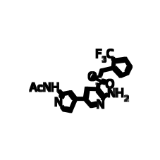 CC(=O)Nc1cc(-c2cnc(N)c(S(=O)(=O)Cc3ccccc3C(F)(F)F)c2)ccn1